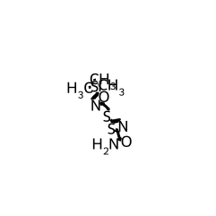 C[Si](C)(C)c1cnc(CSc2cnc(C(N)=O)s2)o1